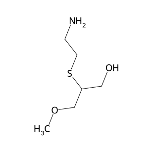 COCC(CO)SCCN